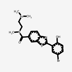 CN(CC[As](C)C)C(=O)c1ccc2nc(-c3cc(Br)ccc3O)sc2c1